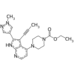 CC#Cc1c(-c2cnn(C)c2)[nH]c2nccc(N3CCN(C(=O)OCC)CC3)c12